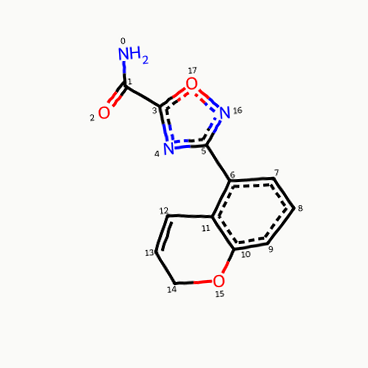 NC(=O)c1nc(-c2cccc3c2C=CCO3)no1